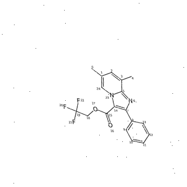 Cc1cc(C)c2nc(-c3ccccc3)c(C(=O)OCC(F)(F)F)n2c1